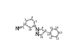 N#Cc1cccc(-n2cc(-c3ccccc3)cn2)c1